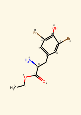 CCOC(=O)[C@@H](N)Cc1cc(Br)c(O)c(Br)c1